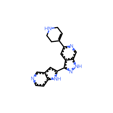 C1=C(c2cc3c(-c4cc5cnccc5[nH]4)n[nH]c3cn2)CCNC1